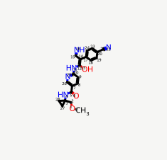 COCC1(NC(=O)c2ccc(N/C(O)=C(\C=N)c3ccc(C#N)cc3)nc2)CC1